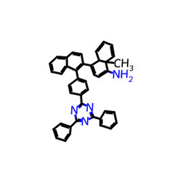 CC12C=CC=CC1C(c1ccc3ccccc3c1-c1ccc(-c3nc(-c4ccccc4)nc(-c4ccccc4)n3)cc1)=CC=C2N